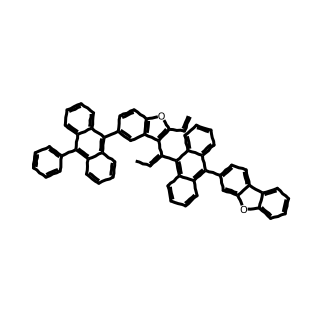 C=Cc1oc2ccc(-c3c4ccccc4c(-c4ccccc4)c4ccccc34)cc2c1/C(=C\C)c1c2ccccc2c(-c2ccc3c(c2)oc2ccccc23)c2ccccc12